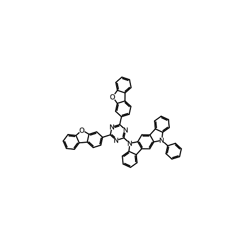 c1ccc(-n2c3ccccc3c3cc4c(cc32)c2ccccc2n4-c2nc(-c3ccc4c(c3)oc3ccccc34)nc(-c3ccc4c(c3)oc3ccccc34)n2)cc1